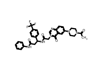 CC(=O)N1CCN(c2ccc3ncn(CC(=O)NC(CC(=O)Nc4ccccc4)c4ccc(C(F)(F)F)cc4)c(=O)c3c2)CC1